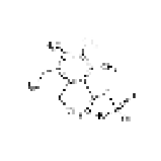 CCc1c(C)c(C)c(C)c(C(=O)OP(=O)(O)O)c1CC